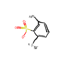 CCCc1cccc(C(F)(F)F)c1S(=O)(=O)[O-].[Na+]